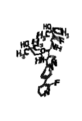 CC(C)(O)CCNc1c(C(=O)NC[C@@H](F)C(C)(C)O)cnn2cc(-c3cccnc3F)cc12